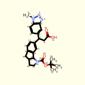 Cn1nnc2cc(C(CC(=O)O)c3ccc4c(c3)C3C(CCN3C(=O)OC(C)(C)C)C4)ccc21